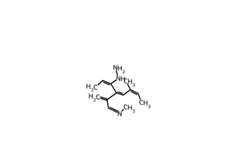 C=C(/C=N\C)C(=C/C(C)=C\C)/C(=C\C)NN